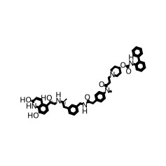 C[C@@H](Cc1cccc(CNC(=O)Cc2ccc(N(C)C(=O)CCN3CCC(OC(=O)Nc4ccccc4-c4ccccc4)CC3)cc2)c1)NC[C@H](O)c1ccc(O)c2c1C=CC(O)N2